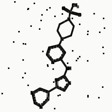 CS(=O)(=O)N1CCN(c2ccnc(Nc3ncc(-c4cncnc4)s3)c2)CC1